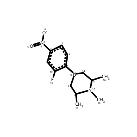 CC1CN(c2ccc([N+](=O)[O-])cc2F)CC(C)N1C